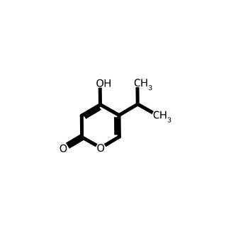 CC(C)c1coc(=O)cc1O